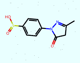 CC1=NN(c2ccc(S(=O)O)cc2)C(=O)C1